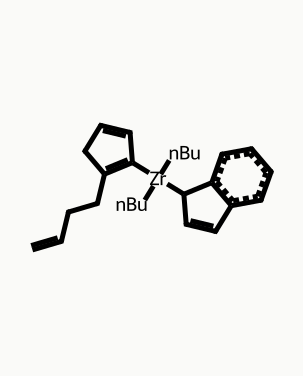 C=CCCC1=[C]([Zr]([CH2]CCC)([CH2]CCC)[CH]2C=Cc3ccccc32)C=CC1